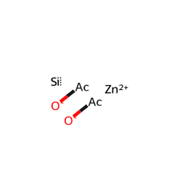 CC(=O)[O-].CC(=O)[O-].[Si].[Zn+2]